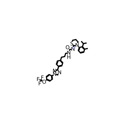 Cc1cccc(N2CCCS/C2=N\C(=O)NCCCc2ccc(-c3ncn(-c4ccc(OC(F)(F)F)cc4)n3)cc2)c1C(C)C